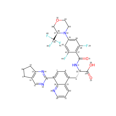 O=C(N[C@@H](Cc1ccc(-c2ncc3c(n2)CCC3)c2ncccc12)C(=O)O)c1c(F)cc(N2CCOC[C@@H]2C(F)(F)F)cc1F